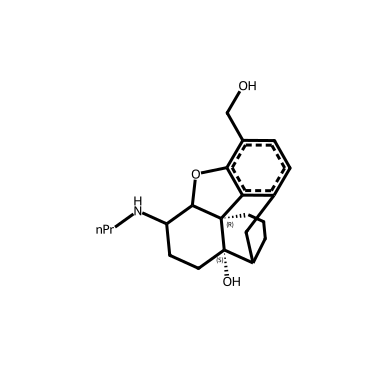 CCCNC1CC[C@]2(O)C3CCC[C@]24c2c(ccc(CO)c2OC14)C3